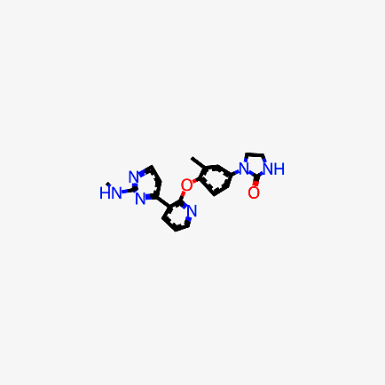 CNc1nccc(-c2cccnc2Oc2ccc(N3CCNC3=O)cc2C)n1